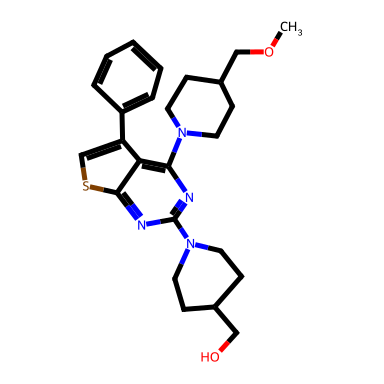 COCC1CCN(c2nc(N3CCC(CO)CC3)nc3scc(-c4ccccc4)c23)CC1